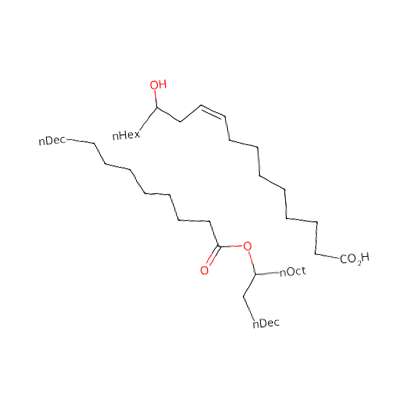 CCCCCCC(O)C/C=C\CCCCCCCC(=O)O.CCCCCCCCCCCCCCCCCC(=O)OC(CCCCCCCC)CCCCCCCCCCC